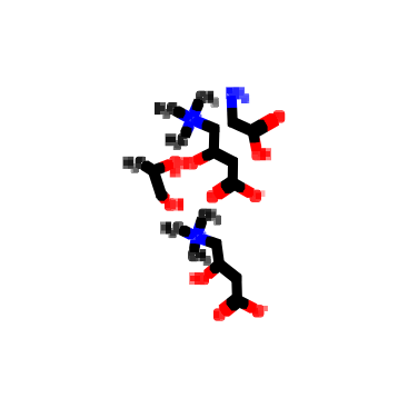 CC(O)CO.C[N+](C)(C)CC(O)CC(=O)[O-].C[N+](C)(C)CC(O)CC(=O)[O-].NCC(=O)O